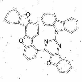 c1ccc2c(c1)oc1c(-c3cccc4oc5c(ccc6oc7ccccc7c65)c34)nc(-n3c4ccccc4c4ccccc43)nc12